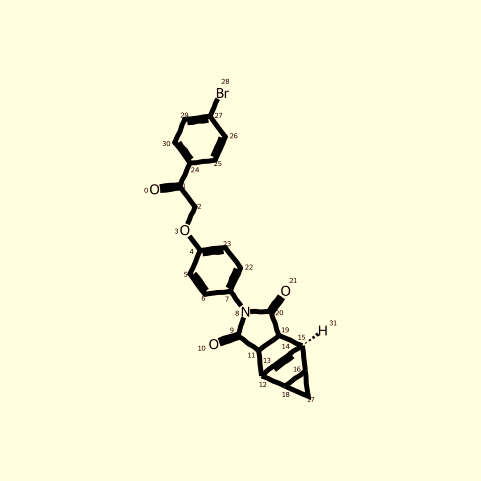 O=C(COc1ccc(N2C(=O)C3C4C=C[C@H](C5CC45)C3C2=O)cc1)c1ccc(Br)cc1